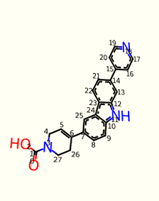 O=C(O)N1CC=C(c2ccc3[nH]c4cc(-c5ccncc5)ccc4c3c2)CC1